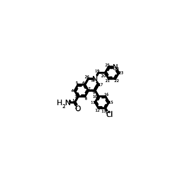 NC(=O)c1ccc2c(c1)C(c1ccc(Cl)cc1)=CN(Cc1cccnc1)C2